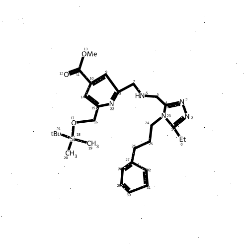 CCc1nnc(CNCc2cc(C(=O)OC)cc(CO[Si](C)(C)C(C)(C)C)n2)n1CCCc1ccccc1